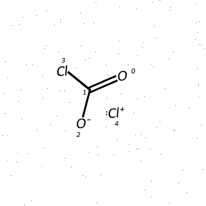 O=C([O-])Cl.[Cl+]